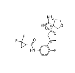 C[C@H](CS(=O)(=O)[C@@]1(C(=N)N)CCOC1)c1cc(NC(=O)C2CC2(F)F)ccc1F